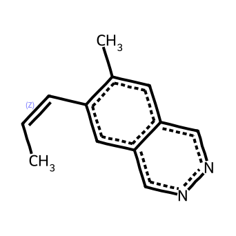 C/C=C\c1cc2cnncc2cc1C